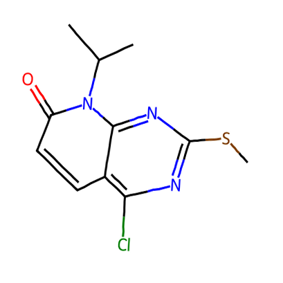 CSc1nc(Cl)c2ccc(=O)n(C(C)C)c2n1